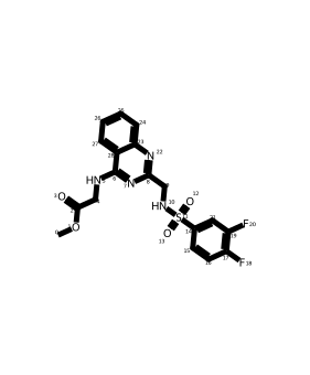 COC(=O)CNc1nc(CNS(=O)(=O)c2ccc(F)c(F)c2)nc2ccccc12